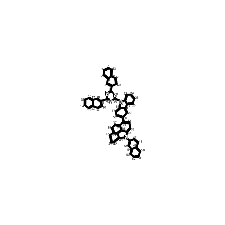 c1ccc2cc(-c3nc(-c4ccc5ccccc5c4)nc(-n4c5ccccc5c5cc(-c6ccc7c8c6ccc6cccc(c68)n7-c6ccc7ccccc7c6)ccc54)n3)ccc2c1